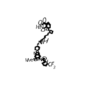 COc1cc2nn([C@H]3CC[C@H](CNCCCCCc4ccccc4Oc4cccc5c4C(=O)NC(=O)C5=O)CC3)cc2cc1NC(=O)c1cccc(C(F)(F)F)n1